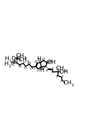 CCCC[C@](C)(O)C/C=C/[C@@H]1[C@H]2CC(CCCCCN(C)C(C)(C)C)=C[C@H]2C[C@H]1O